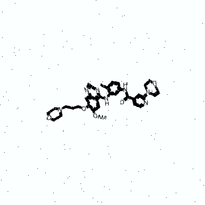 COc1cc2c(Nc3cc(NC(=O)c4ccnc(N5CCOCC5)c4)ccc3C)ncnc2cc1OCCCN1CCOCC1